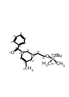 CC1=CN(C(=O)c2ccccc2)CN(CCO[Si](C)(C)C(C)(C)C)C1